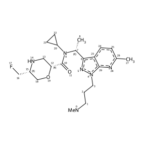 CNCCCn1nc([C@@H](C)N(C(=O)[C@H]2CN[C@@H](CF)CO2)C2CC2)c2ccc(C)nc21